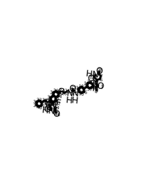 Cn1c(=O)n(C2CCC(=O)NC2=O)c2ccc(-c3ccc(NC(=O)NCCOc4ccc5cc(OCc6ccccc6)c(N6CC(=O)NS6(=O)=O)c(F)c5c4)cc3)cc21